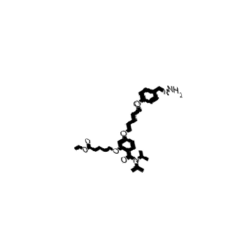 CCOC(=O)CCCCOc1cc(OCCCCCOc2ccc(C=NN)cc2)ccc1C(=O)N(C(C)C)C(C)C